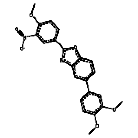 COc1ccc(-c2ccc3oc(-c4ccc(OC)c([N+](=O)[O-])c4)nc3c2)cc1OC